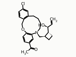 C=C[C@H](O)[C@@H]1CC[C@H]1CN1CCCCc2cc(Cl)ccc2COc2ccc(C(C)=O)cc21